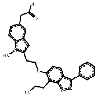 CCCc1c(OCCc2cc3cc(CC(=O)O)ccc3n2C)ccc2c(-c3ccccc3)noc12